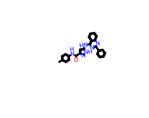 Cc1ccc(NC(=O)c2cc(Nc3nc(-c4ccccc4)nc4ccccc34)[nH]n2)cc1